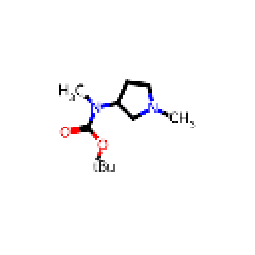 CN1CCC(N(C)C(=O)OC(C)(C)C)C1